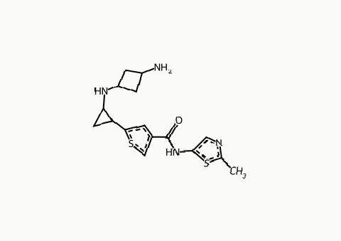 Cc1ncc(NC(=O)c2csc(C3CC3NC3CC(N)C3)c2)s1